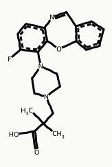 CC(C)(CN1CCN(c2c(F)ccc3c2Oc2ccccc2C=N3)CC1)C(=O)O